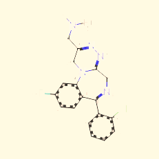 CCN(CC)CC1=NN=C2CN=C(c3ccccc3Cl)c3ccc(F)cc3N2C1